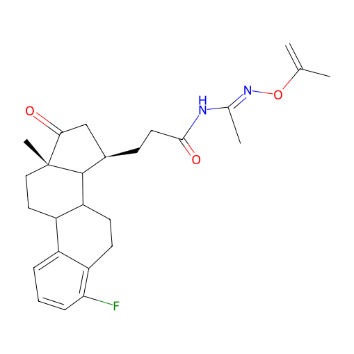 C=C(C)O/N=C(\C)NC(=O)CC[C@@H]1CC(=O)[C@@]2(C)CCC3c4cccc(F)c4CCC3C12